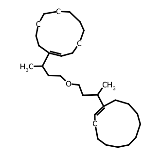 CC(CCOCCC(C)C1=CCCCCCCCCCC1)C1=CCCCCCCCCCC1